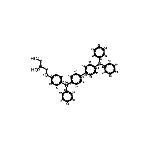 OCC(O)COc1ccc(N(c2ccccc2)c2ccc(-c3ccc(N(c4ccccc4)c4ccccc4)cc3)cc2)cc1